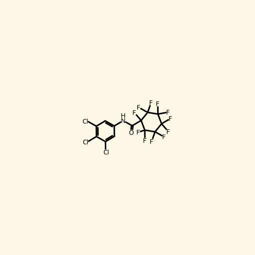 O=C(Nc1cc(Cl)c(Cl)c(Cl)c1)C1(F)C(F)(F)C(F)(F)C(F)(F)C(F)(F)C1(F)F